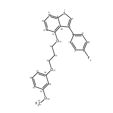 Fc1ccc(-c2csc3ncnc(OCCCOc4cccc(OC(F)(F)F)c4)c23)cc1